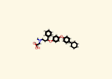 CN(CCC(Oc1ccc(Oc2ccc(C3CCCCC3)cc2)cc1)c1ccccc1)CC(=O)O